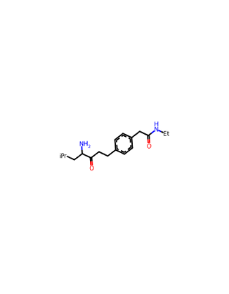 CCNC(=O)Cc1ccc(CCC(=O)C(N)CC(C)C)cc1